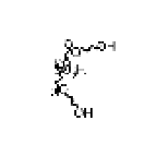 NS(=O)(=O)O.O=C(CCCCCCCC(=O)OCCCCO)OCCCCO